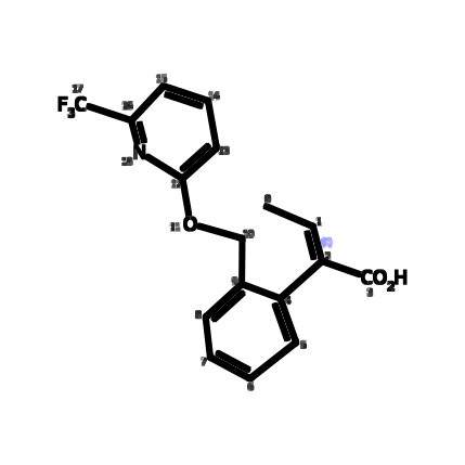 C/C=C(/C(=O)O)c1ccccc1COc1cccc(C(F)(F)F)n1